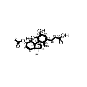 CC(=O)O[C@H]1C=CC2[C@@H](C)CCC[C@@]23c2c(C)c(CCC(=O)O)cc(O)c2O[C@@H]13